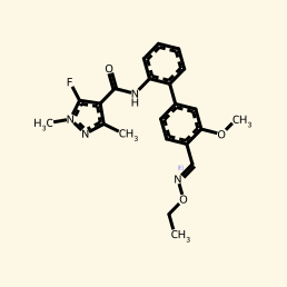 CCO/N=C/c1ccc(-c2ccccc2NC(=O)c2c(C)nn(C)c2F)cc1OC